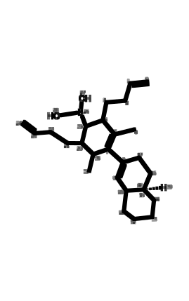 C=CCCC1C(C)=C(C2=CC3CCCC[C@@H]3CC2)C(C)C(CCC=C)C1B(O)O